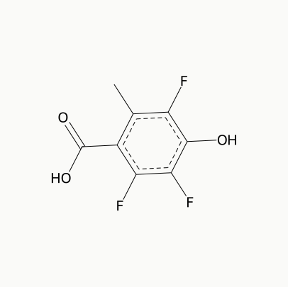 Cc1c(F)c(O)c(F)c(F)c1C(=O)O